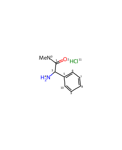 CNC(=O)C(N)c1ccccc1.Cl